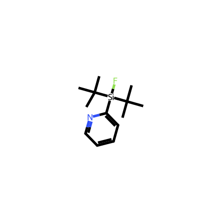 CC(C)(C)[Si](F)(c1ccccn1)C(C)(C)C